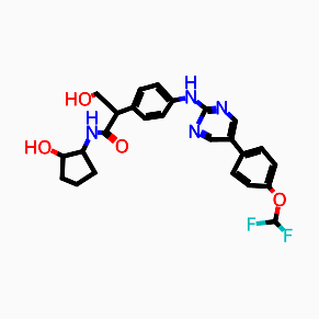 O=C(NC1CCCC1O)C(CO)c1ccc(Nc2ncc(-c3ccc(OC(F)F)cc3)cn2)cc1